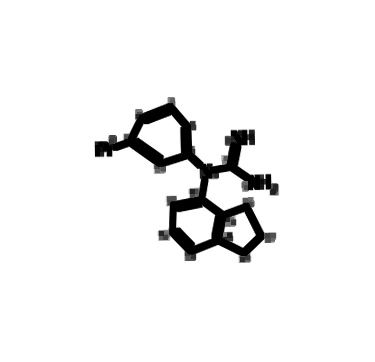 CC(C)c1cccc(N(C(=N)N)c2cccc3c2CCC3)c1